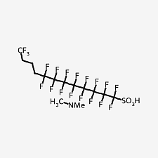 CNC.O=S(=O)(O)C(F)(F)C(F)(F)C(F)(F)C(F)(F)C(F)(F)C(F)(F)C(F)(F)C(F)(F)CCCC(F)(F)F